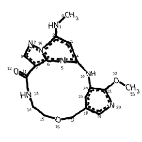 CNc1cc2nc3c(cnn13)C(=O)NCCOCc1cnc(OC)c(c1)N2